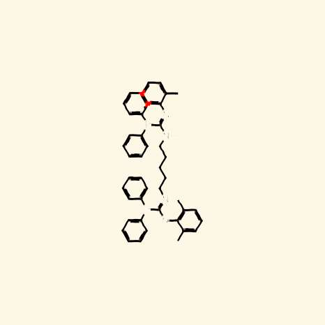 Cc1cccc(C)c1/N=C(/NCCCCC/N=C(/Nc1c(C)cccc1C)P(c1ccccc1)c1ccccc1)P(c1ccccc1)c1ccccc1